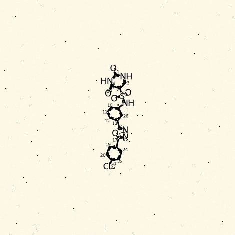 O=c1[nH]cc(S(=O)(=O)Nc2cccc(-c3nnc(-c4ccc(Cl)cc4)o3)c2)c(=O)[nH]1